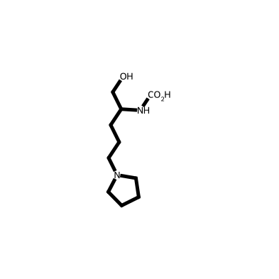 O=C(O)NC(CO)CCCN1CCCC1